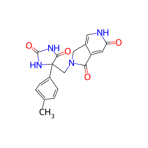 Cc1ccc(C2(CN3Cc4c[nH]c(=O)cc4C3=O)NC(=O)NC2=O)cc1